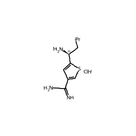 CC(C)C[C@H](N)c1cc(C(=N)N)cs1.Cl